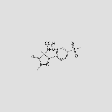 CN1N=C(c2ccc(S(C)(=O)=O)cc2)C(C)(N(O)C(=O)O)C1=O